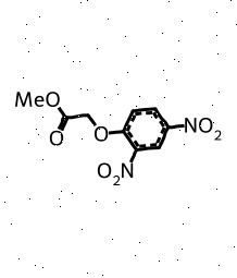 COC(=O)COc1ccc([N+](=O)[O-])cc1[N+](=O)[O-]